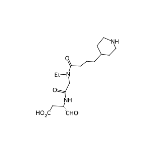 CCN(CC(=O)N[C@H]([C]=O)CC(=O)O)C(=O)CCCC1CCNCC1